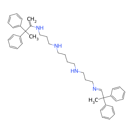 C=C(NCCCNCCCCNCCC/N=C/C(C)(c1ccccc1)c1ccccc1)C(C)(c1ccccc1)c1ccccc1